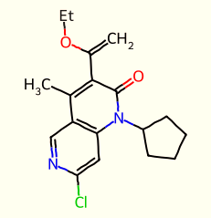 C=C(OCC)c1c(C)c2cnc(Cl)cc2n(C2CCCC2)c1=O